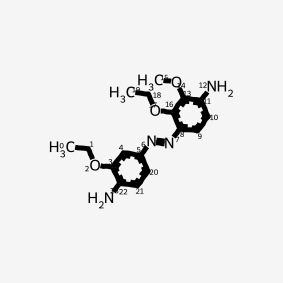 CCOc1cc(N=Nc2ccc(N)c(OC)c2OCC)ccc1N